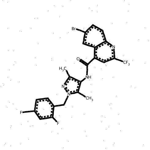 Cc1nn(Cc2ccc(F)cc2F)c(C)c1NC(=O)c1cc(C(F)(F)F)nc2ccc(Br)cc12